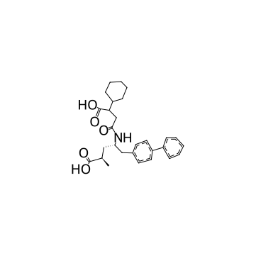 C[C@H](C[C@@H](Cc1ccc(-c2ccccc2)cc1)NC(=O)CC(C(=O)O)C1CCCCC1)C(=O)O